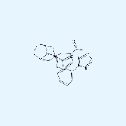 CC(=O)c1ccnc(N2C3CCC2CN(C(=O)c2ccccc2-n2nccn2)C3)c1